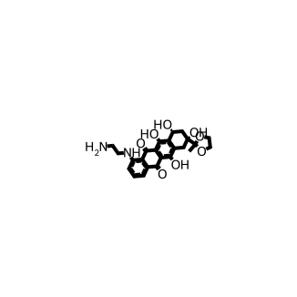 CC1([C@]2(O)Cc3c(O)c4c(c(O)c3[C@@H](O)C2)C(=O)c2c(NCCN)cccc2C4=O)OCCO1